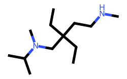 CCC(CC)(CCNC)CN(C)C(C)C